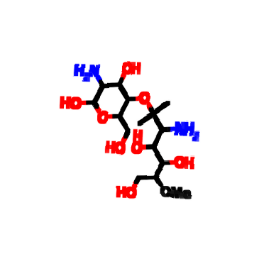 COC(CO)C(O)C(O)C(N)C(C)(C)OC1C(CO)OC(O)C(N)C1O